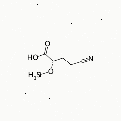 N#CCCC(O[SiH3])C(=O)O